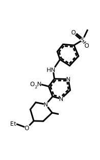 CCOC1CCN(c2ncnc(Nc3ccc(S(C)(=O)=O)cc3)c2[N+](=O)[O-])C(C)C1